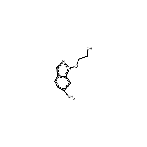 Nc1ccc2cnn(OCCO)c2c1